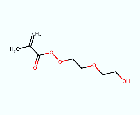 C=C(C)C(=O)OOCCOCCO